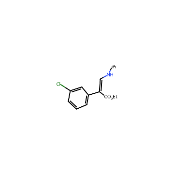 CCOC(=O)C(=CNC(C)C)c1cccc(Cl)c1